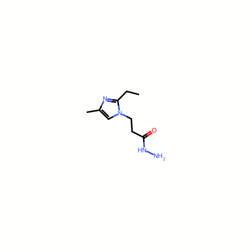 CCc1nc(C)cn1CCC(=O)NN